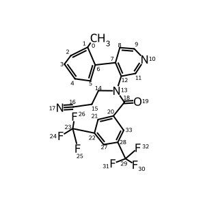 Cc1ccccc1-c1ccncc1N(CCC#N)C(=O)c1cc(C(F)(F)F)cc(C(F)(F)F)c1